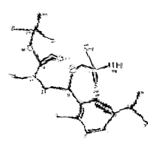 Cc1ccc(C(C)C)cc1C(CN(C)C(=O)OC(C)(C)C)OP(O)(=S)S